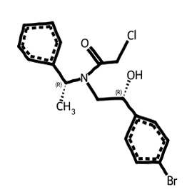 C[C@H](c1ccccc1)N(C[C@H](O)c1ccc(Br)cc1)C(=O)CCl